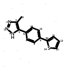 Cc1nn[nH]c1-c1ccc(-c2cccs2)cc1